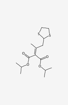 CC(CC1SCCS1)=C(C(=O)OC(C)C)C(=O)OC(C)C